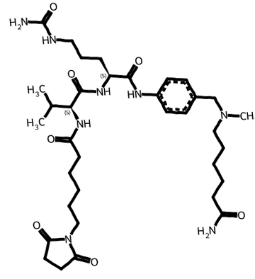 CC(C)[C@H](NC(=O)CCCCCN1C(=O)CCC1=O)C(=O)N[C@@H](CCCNC(N)=O)C(=O)Nc1ccc(CN(C)CCCCCC(N)=O)cc1